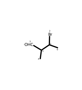 CC(Br)C(C)[C]=O